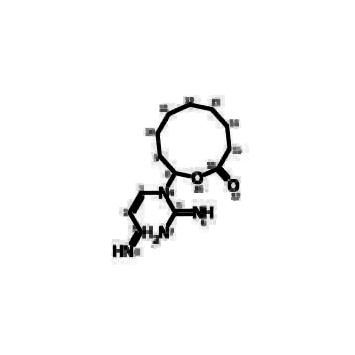 N=C/C=C\N(C(=N)N)C1CCCCCCCC(=O)O1